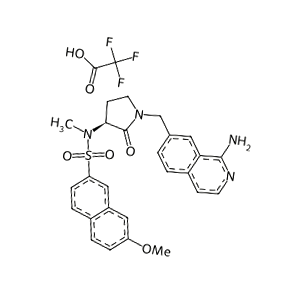 COc1ccc2ccc(S(=O)(=O)N(C)[C@H]3CCN(Cc4ccc5ccnc(N)c5c4)C3=O)cc2c1.O=C(O)C(F)(F)F